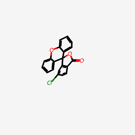 O=C1OC2(c3ccccc3Oc3ccccc32)c2cc(Cl)ccc21